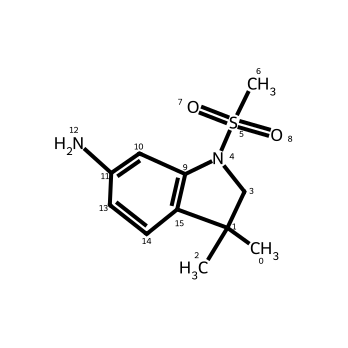 CC1(C)CN(S(C)(=O)=O)c2cc(N)ccc21